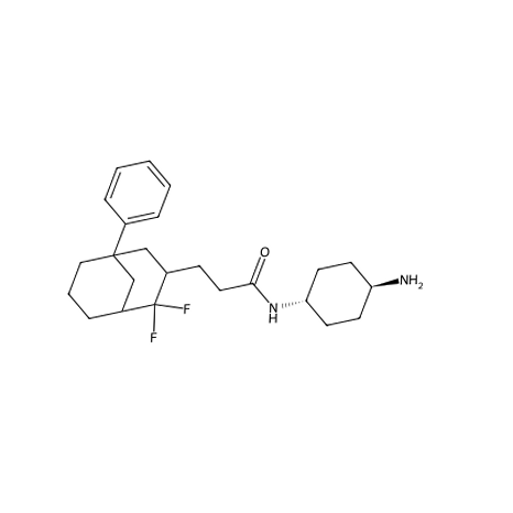 N[C@H]1CC[C@H](NC(=O)CCC2CC3(c4ccccc4)CCCC(C3)C2(F)F)CC1